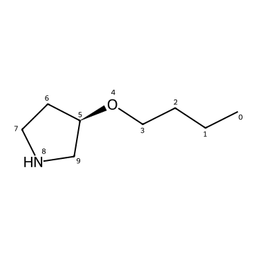 CCCCO[C@@H]1CCNC1